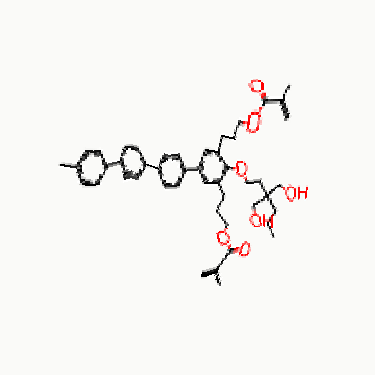 C=C(C)C(=O)OCCCc1cc(-c2ccc(-c3ccc(-c4ccc(C)cc4)cc3)cc2)cc(CCCOC(=O)C(=C)C)c1OCCC(CO)(CO)CCC